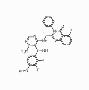 COc1ccc(C(=N)c2c(N)ncnc2N[C@H](C)c2nc3cccc(F)c3c(=O)n2-c2ccccc2)c(F)c1F